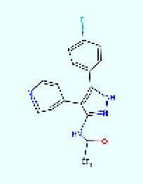 O=C(Nc1n[nH]c(-c2ccc(F)cc2)c1-c1ccncc1)C(F)(F)F